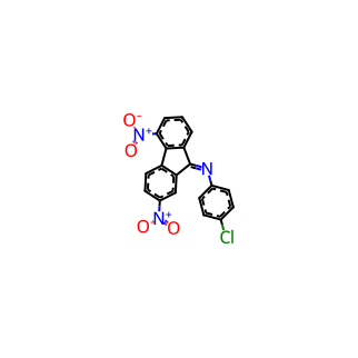 O=[N+]([O-])c1ccc2c(c1)C(=Nc1ccc(Cl)cc1)c1cccc([N+](=O)[O-])c1-2